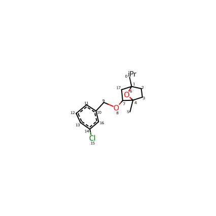 CC(C)C12CCC(C)(O1)C(OCc1cccc(Cl)c1)C2